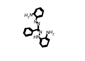 Nc1ccccc1/N=N/C(=N/Nc1ccccc1N)c1ccccc1